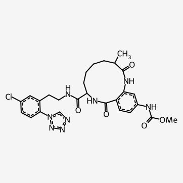 COC(=O)Nc1ccc2c(c1)NC(=O)C(C)CCCCC(C(=O)NCCc1cc(Cl)ccc1-n1cnnn1)NC2=O